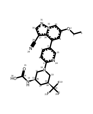 CCOc1cc(-c2ccc(N3C[C@H](NC(=O)O)C[C@H](C(F)(F)F)C3)nc2)c2c(C#N)cnn2c1